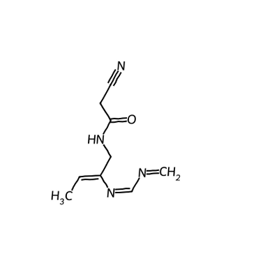 C=N/C=N\C(=C/C)CNC(=O)CC#N